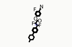 CC1CCC(c2ccc(/C(F)=C(\F)C(=O)Oc3ccc(C#N)c(F)c3)cc2)CC1